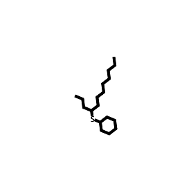 CCCCCCCCC(CCC)SC1CCCCC1